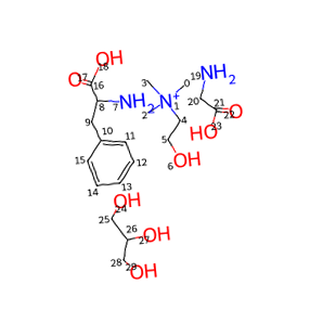 C[N+](C)(C)CCO.NC(Cc1ccccc1)C(=O)O.NCC(=O)O.OCC(O)CO